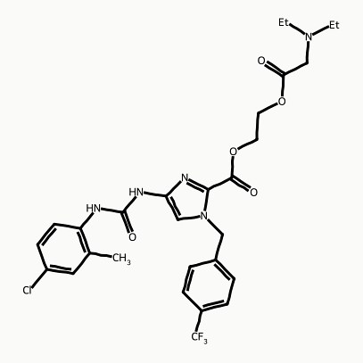 CCN(CC)CC(=O)OCCOC(=O)c1nc(NC(=O)Nc2ccc(Cl)cc2C)cn1Cc1ccc(C(F)(F)F)cc1